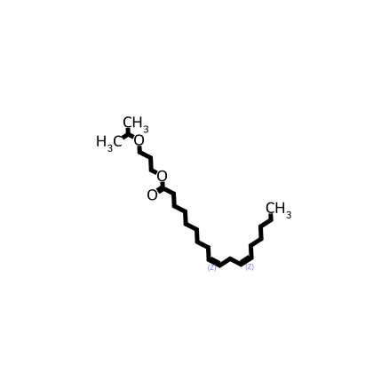 CCCCC/C=C\C/C=C\CCCCCCCC(=O)OCCCOC(C)C